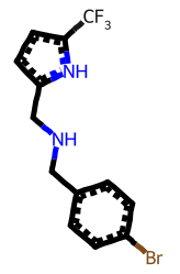 FC(F)(F)c1ccc(CNCc2ccc(Br)cc2)[nH]1